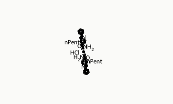 CCCCCC1c2cc(-c3ccccc3)nn2CCN1C(=O)[C@@H](N)CSSC[C@H](N)C(=O)N1CCn2nc(-c3ccccc3)cc2C1CCCCC.Cl